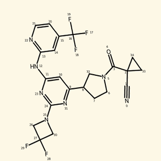 N#CC1(C(=O)N2CCC(c3cc(Nc4cc(C(F)(F)F)ccn4)nc(N4CC(F)(F)C4)n3)C2)CC1